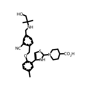 Cc1ccc(OCc2ccc(CNC(C)(C)CO)cc2C#N)c(C2=CSC(N3CCC(C(=O)O)CC3)N2)c1